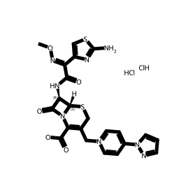 CON=C(C(=O)N[C@@H]1C(=O)N2C(C(=O)[O-])=C(C[n+]3ccc(-n4cccn4)cc3)CS[C@@H]12)c1csc(N)n1.Cl.Cl